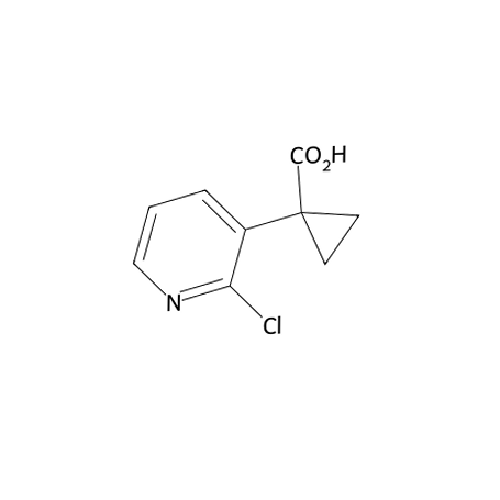 O=C(O)C1(c2cccnc2Cl)CC1